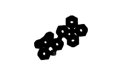 c1ccc(C2(c3ccccc3)c3ccccc3-c3c(-c4ccc5c(c4)C4(c6ccccc6O5)c5ccccc5-c5ccccc54)cccc32)cc1